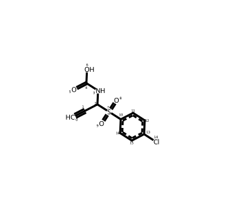 C#CC(NC(=O)O)S(=O)(=O)c1ccc(Cl)cc1